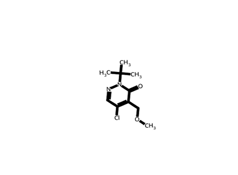 COCc1c(Cl)cnn(C(C)(C)C)c1=O